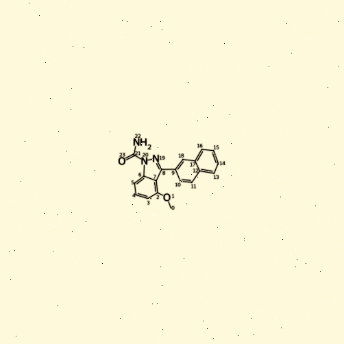 COc1[c]ccc2c1c(-c1ccc3ccccc3c1)nn2C(N)=O